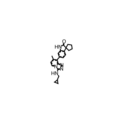 Cc1ccn2c(NCC3CC3)nnc2c1-c1ccc2c(c1)NC(=O)C21CCCC1